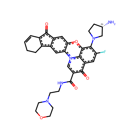 N[C@H]1CCN(c2c(F)cc3c(=O)c(C(=O)NCCN4CCOCC4)cn4c5cc6c7c(c(=O)c6cc5oc2c34)C=CCC7)C1